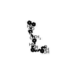 CN(C(=O)CCN1CCC(OC(=O)Nc2ccccc2-c2ccccc2)CC1)c1ccc(CNC(=O)Cc2cccc(CNCCc3ccc(O)c4[nH]c(=O)ccc34)c2)cc1